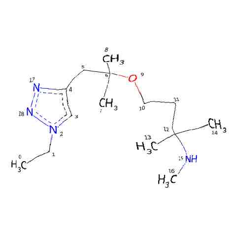 CCn1cc(CC(C)(C)OCCC(C)(C)NC)nn1